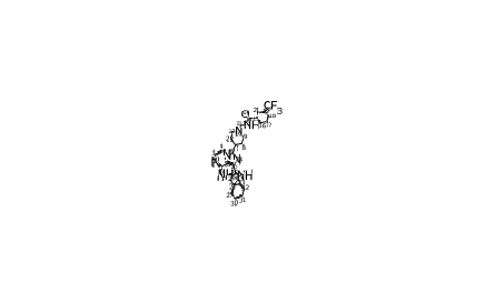 Nc1nccn2c(C3CCN(CNC(=O)c4cccc(C(F)(F)F)c4)CC3)nc(C3Cc4ccccc4N3)c12